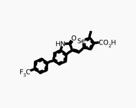 Cc1[se]c(C=C2C(=O)Nc3cc(-c4ccc(C(F)(F)F)cc4)ccc32)cc1C(=O)O